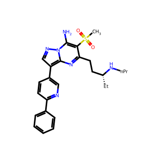 CCCN[C@H](CC)CCc1nc2c(-c3ccc(-c4ccccc4)nc3)cnn2c(N)c1S(C)(=O)=O